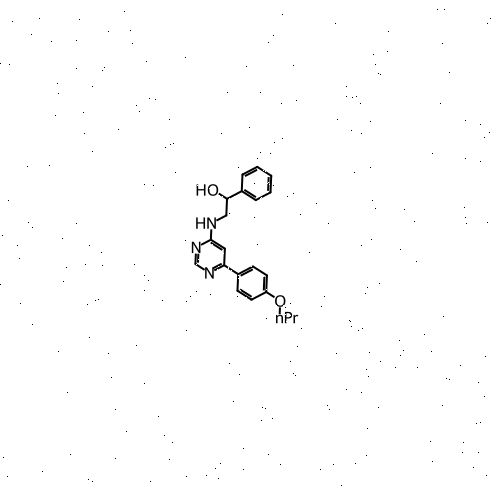 CCCOc1ccc(-c2cc(NCC(O)c3ccccc3)ncn2)cc1